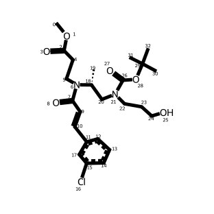 COC(=O)CCN(C(=O)C=Cc1cccc(Cl)c1)[C@H](C)CN(CCCO)C(=O)OC(C)(C)C